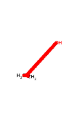 C=CCOCC(COCC=C)OCCOCCOCCOCCOCCOCCOCCOCCOCCOCCOCCOCCOCCOCCOCCOCCOCCOCCOCCOCCOCCCCOCCCCOCCCCO